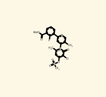 COC(=O)c1cccc(-c2cc(-n3c(C)cc(OS(=O)(=O)C(F)(F)F)c(Cl)c3=O)c(C)cn2)c1F